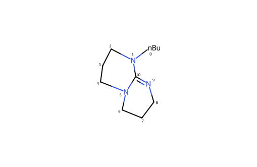 CCCCN1CCCN2CCCN=C12